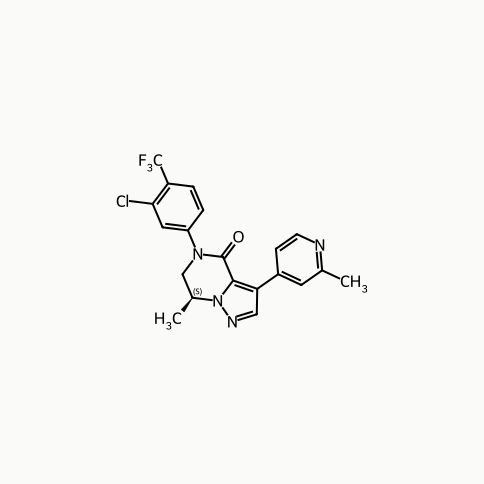 Cc1cc(-c2cnn3c2C(=O)N(c2ccc(C(F)(F)F)c(Cl)c2)C[C@@H]3C)ccn1